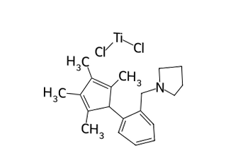 CC1=C(C)C(c2ccccc2CN2CCCC2)C(C)=C1C.[Cl][Ti][Cl]